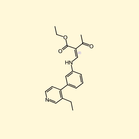 CCOC(=O)/C(=C\Nc1cccc(-c2ccncc2CC)c1)C(C)=O